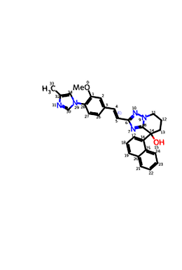 COc1cc(/C=C/c2nc3n(n2)CCCC3(O)c2cccc3ccccc23)ccc1-n1cnc(C)c1